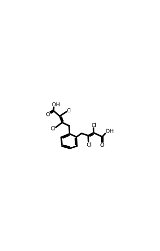 O=C(O)C(Cl)=C(Cl)Cc1ccccc1CC(Cl)=C(Cl)C(=O)O